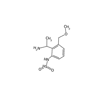 COCc1cccc(N[SH](=O)=O)c1C(C)N